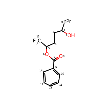 CCCC(O)CCC(OC(=O)c1cc[c]cc1)C(F)(F)F